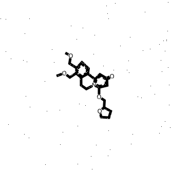 COCc1ccc2c(c1COC)CCn1c(OCC3CCCO3)cc(=O)cc1-2